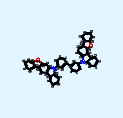 c1cc(-c2cccc(-n3c4ccccc4c4c5oc6ccccc6c5ccc43)c2)cc(-n2c3ccccc3c3cc4c(cc32)oc2ccccc24)c1